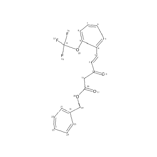 O=C(C=Cc1ccccc1OC(F)(F)F)CC(=O)OCc1ccccc1